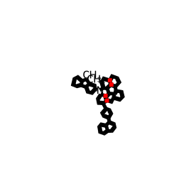 CC1(C)c2ccccc2-c2ccc(N(c3ccc(-c4ccc(-c5cccc6ccccc56)cc4)cc3)c3ccccc3-c3cccc4cccc(-c5ccccc5)c34)cc21